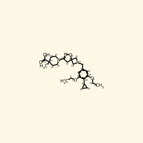 CCOc1cc(CN2CC3(CC(N4CCC(C)(C(=O)O)CC4)=NO3)C2)cc(OCC)c1C1CC1